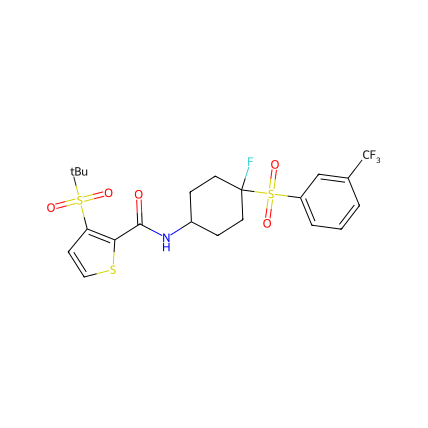 CC(C)(C)S(=O)(=O)c1ccsc1C(=O)NC1CCC(F)(S(=O)(=O)c2cccc(C(F)(F)F)c2)CC1